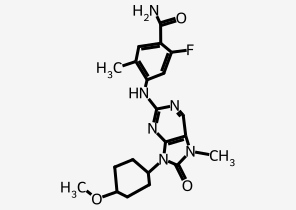 COC1CCC(n2c(=O)n(C)c3cnc(Nc4cc(F)c(C(N)=O)cc4C)nc32)CC1